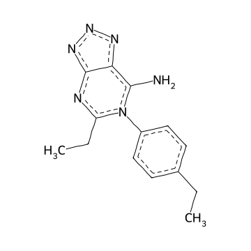 CCc1ccc(-n2c(CC)nc3nnnc-3c2N)cc1